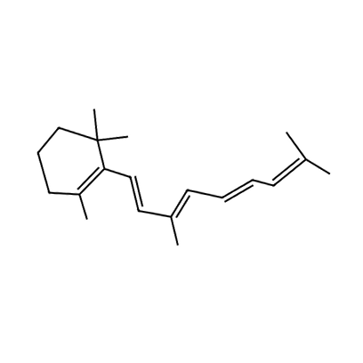 CC(C)=CC=CC=C(C)C=CC1=C(C)CCCC1(C)C